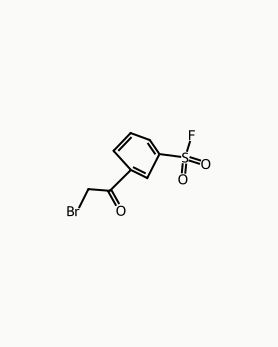 O=C(CBr)c1cccc(S(=O)(=O)F)c1